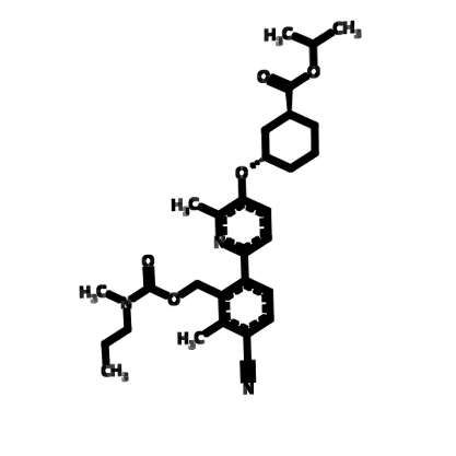 CCCN(C)C(=O)OCc1c(-c2ccc(O[C@H]3CCC[C@H](C(=O)OC(C)C)C3)c(C)n2)ccc(C#N)c1C